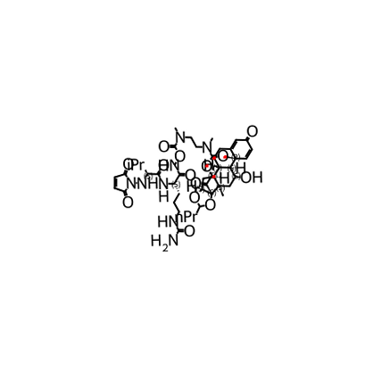 CCCC1O[C@H]2C[C@H]3[C@@H]4CCC5=CC(=O)C=C[C@]5(C)[C@H]4[C@@H](O)C[C@]3(C)[C@]2(C(=O)COC(=O)N(C)CCN(C)C(=O)ONC(=O)[C@H](CCCNC(N)=O)NC(=O)[C@@H](NN2C(=O)C=CC2=O)C(C)C)O1